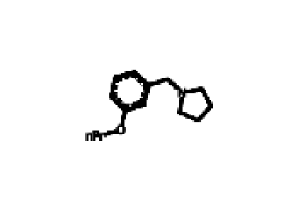 [CH2]CCOc1cccc(CN2CCCC2)c1